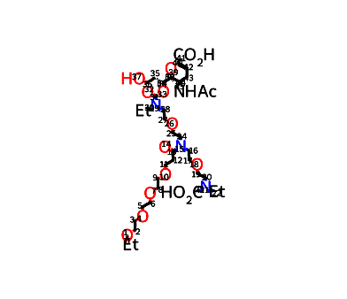 CCOCCOCCOCCOCCC(=O)N(CCOCCN(CC)C(=O)O)CCOCCN(CC)C(=O)O[C@H](CCO)[C@@H]1OC(C(=O)O)=CC[C@H]1NC(C)=O